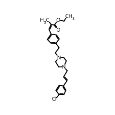 CCOC(=O)C(C)=Cc1ccc(CCN2CCN(CC=Cc3ccc(Cl)cc3)CC2)cc1